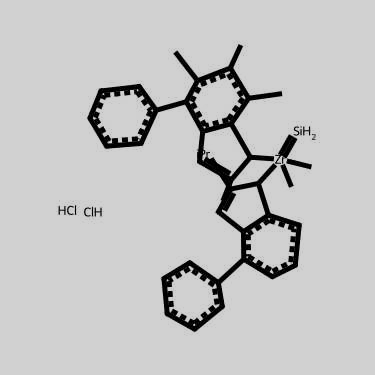 CC1=Cc2c(-c3ccccc3)c(C)c(C)c(C)c2[CH]1[Zr]([CH3])([CH3])(=[SiH2])[CH]1C(C(C)C)=Cc2c(-c3ccccc3)cccc21.Cl.Cl